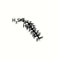 CC(F)C(F)(F)C(F)(F)C(F)(F)C(F)(F)C(F)(F)C(F)(F)C[SiH2]O[SiH3]